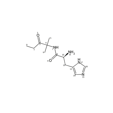 CCC(=O)C(C)(C)NC(=O)[C@@H](N)Cc1cnc[nH]1